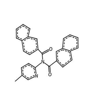 Cc1ccc(N(C(=O)c2ccc3ccccc3c2)C(=O)c2ccc3ccccc3c2)nc1